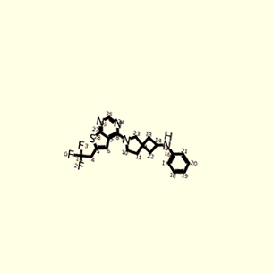 FC(F)(F)Cc1cc2c(N3CCC4(CC(Nc5ccccc5)C4)C3)ncnc2s1